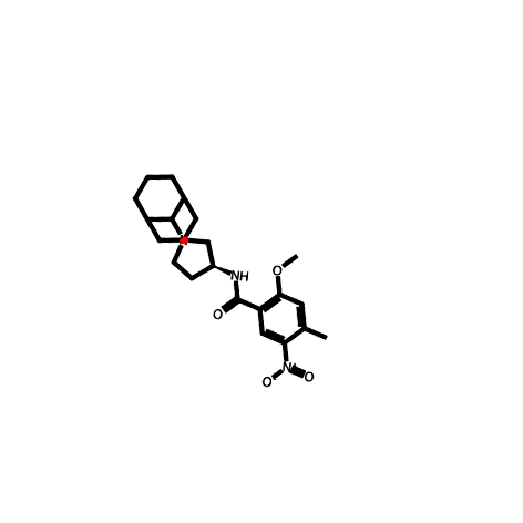 COc1cc(C)c([N+](=O)[O-])cc1C(=O)N[C@H]1CCN(C2C3CCCC2CCC3)C1